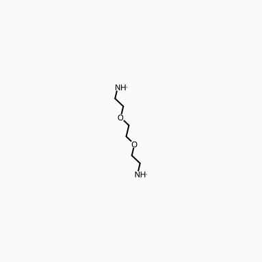 [NH]CCOCCOCC[NH]